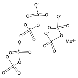 O=S(=O)([O-])OS(=O)(=O)[O-].O=S(=O)([O-])OS(=O)(=O)[O-].O=S(=O)([O-])OS(=O)(=O)[O-].[Mo+6]